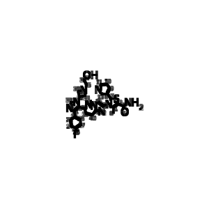 CC1=C(C(N)=O)SC(c2cccnc2)N1c1cn2nc(-c3c(-c4ccc(F)cc4)ncn3C3CN(CCO)C3)ccc2n1